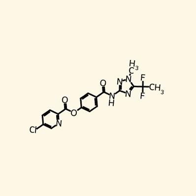 Cn1nc(NC(=O)c2ccc(OC(=O)c3ccc(Cl)cn3)cc2)nc1C(C)(F)F